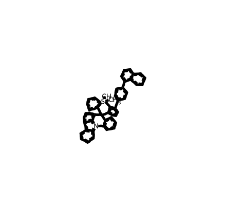 C[Si]1(C)c2ccccc2C2(c3ccccc3-n3c4ccccc4c4cccc2c43)c2cccc(-c3ccc(-c4cccc5ccccc45)cc3)c21